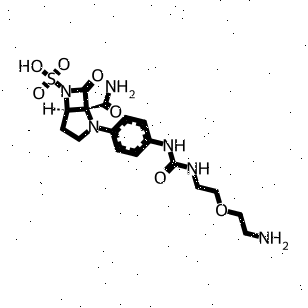 NCCOCCNC(=O)Nc1ccc(N2CC[C@H]3N(S(=O)(=O)O)C(=O)[C@@]32C(N)=O)cc1